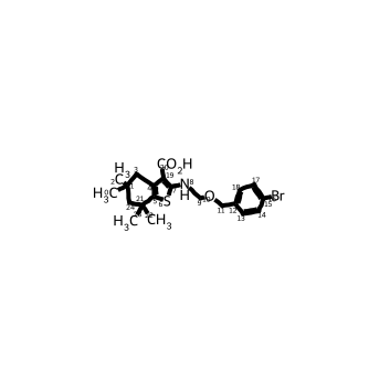 CC1(C)Cc2c(sc(NCOCc3ccc(Br)cc3)c2C(=O)O)C(C)(C)C1